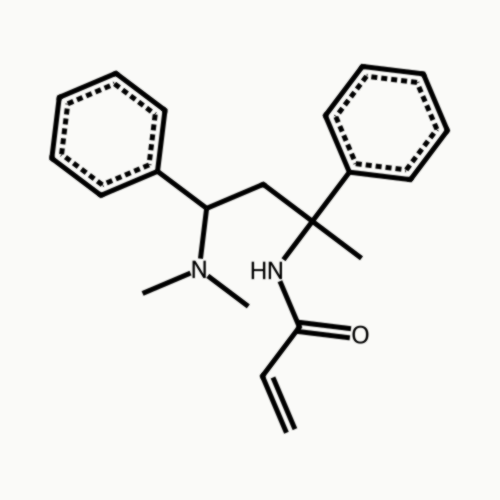 C=CC(=O)NC(C)(CC(c1ccccc1)N(C)C)c1ccccc1